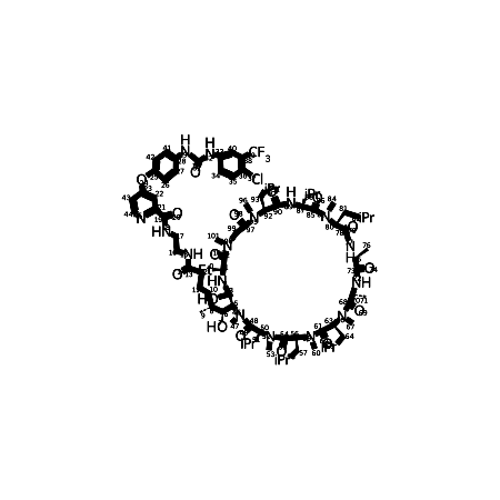 CC[C@@H]1NC(O)[C@H]([C@H](O)[C@H](C)CCCC(=O)NCCNC(=O)c2cc(Oc3ccc(NC(=O)Nc4ccc(Cl)c(C(F)(F)F)c4)cc3)ccn2)N(C)C(=O)[C@H](C(C)C)N(C)C(=O)[C@H](CC(C)C)N(C)C(=O)[C@H](CC(C)C)N(C)C(=O)[C@@H](C)NC(=O)[C@H](C)NC(=O)[C@H](CC(C)C)N(C)C(=O)[C@H](C(C)C)NC(=O)[C@H](CC(C)C)N(C)C(=O)CN(C)C1=O